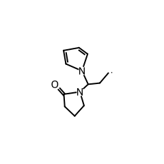 [CH2]CC(N1CCCC1=O)n1cccc1